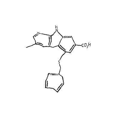 Cc1cnc2[nH]c3cc(C(=O)O)cc(SCc4ccccc4)c3c2c1